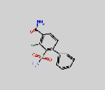 NC(=O)c1ccc(-c2ccccc2)c(S(N)(=O)=O)c1F